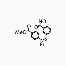 CCN(Sc1cccc(C(=O)N=O)c1)c1ccc(C(=O)OC)cc1